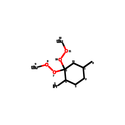 CC1CCC(C(C)C)C(OOC(C)(C)C)(OOC(C)(C)C)C1